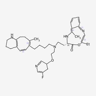 CC/C1=C/N=c2/cccc/c2=C(/C)N[C@@H](CCN(CCCCC2=C(\C)CCC3=C(/C=C\2)CCCN3)CCOC2C=NC=C(F)C2)C(=O)O1